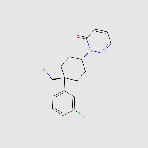 NC[C@]1(c2cccc(Cl)c2)CC[C@H](n2ncccc2=O)CC1